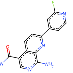 NC(=O)c1cnc(N)c2nc(-c3ccnc(F)c3)ccc12